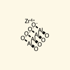 [O]=[Al][O-].[O]=[Al][O-].[O]=[Al][O-].[O]=[Al][O-].[Zr+4]